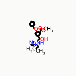 COC(=O)c1cc(C(O)CNC(CC(C)C)n2ccnc2)ccc1OCc1ccccc1